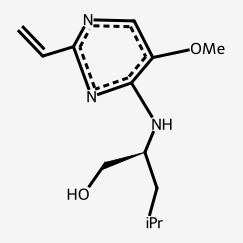 C=Cc1ncc(OC)c(N[C@H](CO)CC(C)C)n1